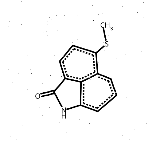 CSc1ccc2c3c(cccc13)NC2=O